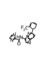 Cn1ccnc1C(=O)Nc1cnc2ccc(C3CC=CC=C3C(F)(F)F)nn12